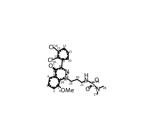 COc1cccc2c(=O)c(-c3cccc(Cl)c3Cl)nn(CCCNS(=O)(=O)N(C)C)c12